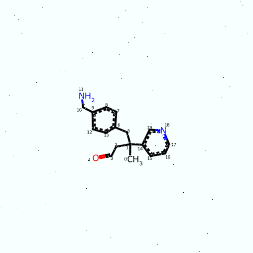 CC(CC=O)(Cc1ccc(CN)cc1)c1cccnc1